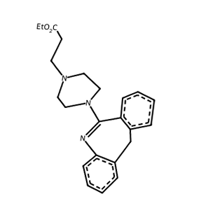 CCOC(=O)CCN1CCN(C2=Nc3ccccc3Cc3ccccc32)CC1